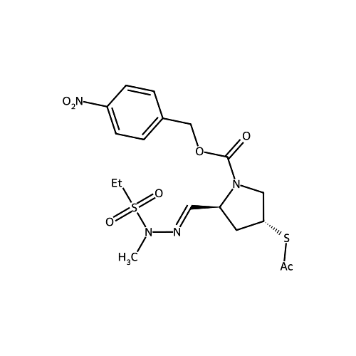 CCS(=O)(=O)N(C)/N=C/[C@@H]1C[C@@H](SC(C)=O)CN1C(=O)OCc1ccc([N+](=O)[O-])cc1